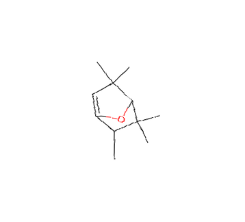 CC1C2=CC(C)(C)C(O2)C1(C)C